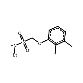 CCNS(=O)(=O)COc1cccc(C)c1C